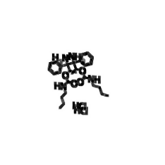 CCCCNC(=O)OC(C)C(N)(c1ccccc1)C(N)(c1ccccc1)C(C)OC(=O)NCCCC.Cl.Cl